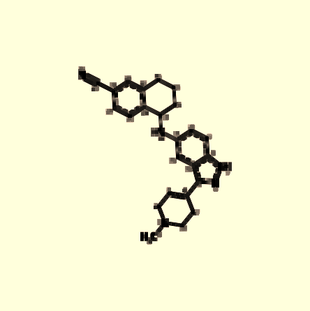 CN1CC=C(c2n[nH]c3ccc(NC4CCCc5cc(C#N)ccc54)cc23)CC1